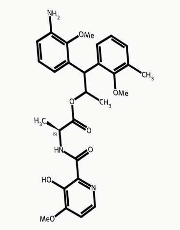 COc1ccnc(C(=O)N[C@@H](C)C(=O)OC(C)C(c2cccc(C)c2OC)c2cccc(N)c2OC)c1O